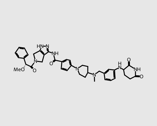 CO[C@@H](C(=O)N1Cc2[nH]nc(NC(=O)c3ccc(N4CCC(N(C)Cc5cccc(NC6CCC(=O)NC6=O)c5)CC4)cc3)c2C1)c1ccccc1